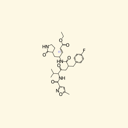 CCOC(=O)/C=C/C(CC1CCNC1=O)NC(=O)C(CC(=O)C(NC(=O)c1cc(C)on1)C(C)C)Cc1ccc(F)cc1